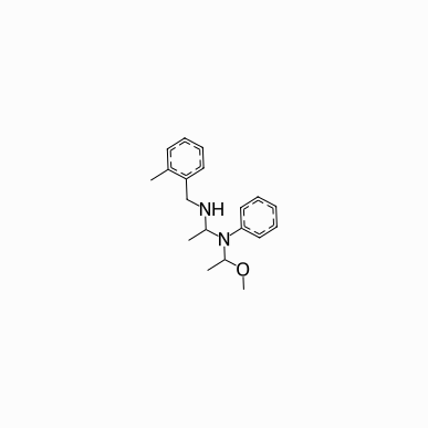 COC(C)N(c1ccccc1)C(C)NCc1ccccc1C